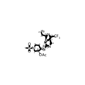 CC(=O)O[C@@H]1CN(S(C)(=O)=O)CC[C@H]1Nc1ncc2c(C(F)(F)F)nc(CC(C)C)n2n1